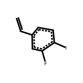 C=[C]c1ccc(I)c(F)c1